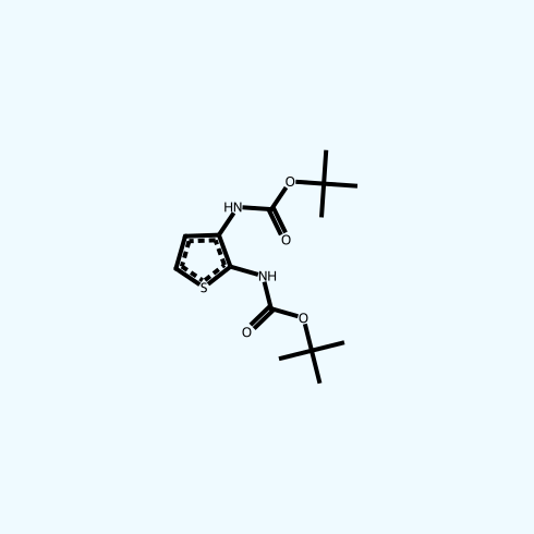 CC(C)(C)OC(=O)Nc1ccsc1NC(=O)OC(C)(C)C